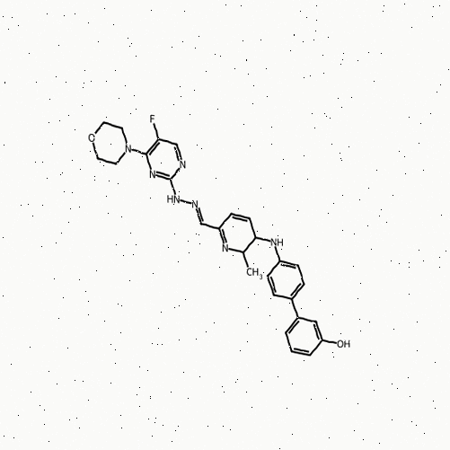 CC1N=C(/C=N/Nc2ncc(F)c(N3CCOCC3)n2)C=CC1Nc1ccc(-c2cccc(O)c2)cc1